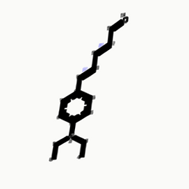 CCN(CC)c1ccc(/C=C/C=C/C=O)cc1